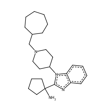 NC1(c2nc3ccccc3n2C2CCN(CC3CCCCCC3)CC2)CCCC1